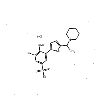 CCS(=O)(=O)c1cc(Br)c(OC)c(-c2ccc(C(C)N3CCCCC3)[nH]2)c1.Cl